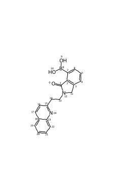 O=C1c2c(cccc2B(O)O)CN1CCc1ccc2ccccc2n1